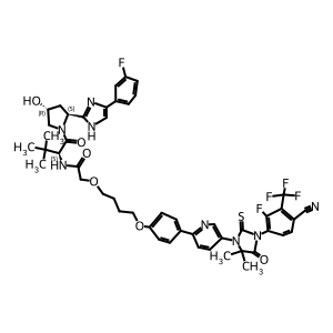 CC(C)(C)[C@H](NC(=O)COCCCCOc1ccc(-c2ccc(N3C(=S)N(c4ccc(C#N)c(C(F)(F)F)c4F)C(=O)C3(C)C)cn2)cc1)C(=O)N1C[C@H](O)C[C@H]1c1nc(-c2cccc(F)c2)c[nH]1